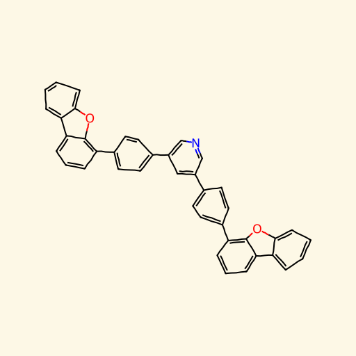 c1ccc2c(c1)oc1c(-c3ccc(-c4cncc(-c5ccc(-c6cccc7c6oc6ccccc67)cc5)c4)cc3)cccc12